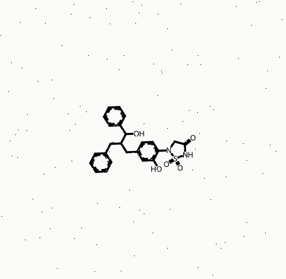 O=C1CN(c2ccc(CC(Cc3ccccc3)C(O)c3ccccc3)cc2O)S(=O)(=O)N1